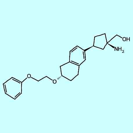 N[C@]1(CO)CC[C@H](c2ccc3c(c2)CC[C@H](OCCOc2ccccc2)C3)C1